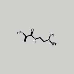 C=C(CCC)C(=O)NCCN(C(C)C)C(C)C